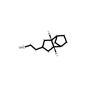 O=CCCC1C[C@@H]2C3CCC(C3)[C@@H]2C1